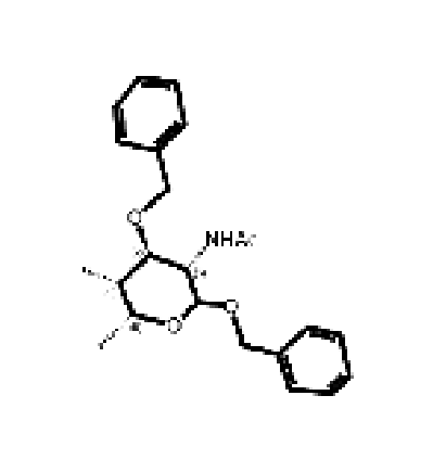 CC(=O)N[C@@H]1C(OCc2ccccc2)O[C@H](C)[C@H](C)[C@H]1OCc1ccccc1